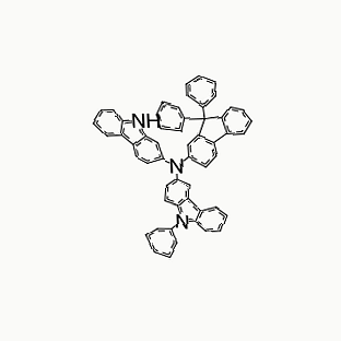 c1ccc(-n2c3ccccc3c3cc(N(c4ccc5c(c4)C(c4ccccc4)(c4ccccc4)c4ccccc4-5)c4ccc5c(c4)[nH]c4ccccc45)ccc32)cc1